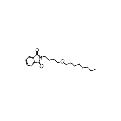 CCCC[CH]CCCOCCCCN1C(=O)c2ccccc2C1=O